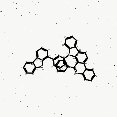 c1ccc(-c2nc3ccccc3c3ccc4c5ccccc5n(-c5cccc(-c6cccc7c6oc6ccccc67)c5)c4c23)cc1